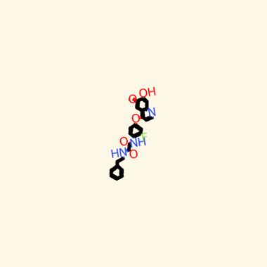 COc1cc2c(Oc3ccc(NC(=O)C(=O)NCCc4ccccc4)c(F)c3)ccnc2cc1O